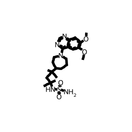 COc1cc2ncnc(N3CCCC(C(C)(C)CC(C)(C)NS(N)(=O)=O)CC3)c2cc1OC